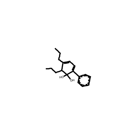 CCCC1=CC=C(c2ccccc2)C(O)(O)C1CCC